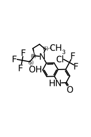 C[C@H]1CC[C@H]([C@H](O)C(F)(F)F)N1c1ccc2[nH]c(=O)cc(C(F)(F)Cl)c2c1